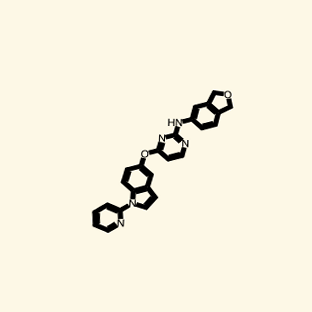 c1ccc(-n2ccc3cc(Oc4ccnc(Nc5ccc6c(c5)COC6)n4)ccc32)nc1